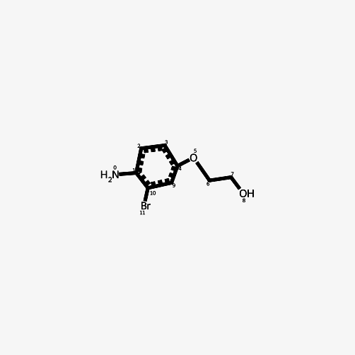 Nc1ccc(OCCO)cc1Br